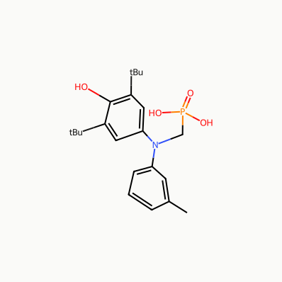 Cc1cccc(N(CP(=O)(O)O)c2cc(C(C)(C)C)c(O)c(C(C)(C)C)c2)c1